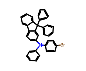 Brc1ccc(N(c2ccccc2)c2ccc3c(c2)C(c2ccccc2)(c2ccccc2)c2ccccc2-3)cc1